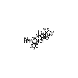 CCNc1nc(Nc2cn([C@]3(C)CCOC3=O)nc2Cl)ncc1C(F)(F)F